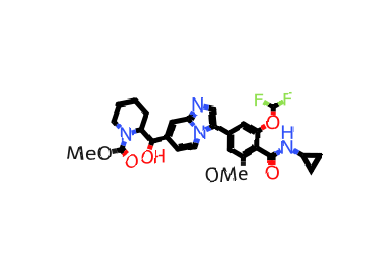 COC(=O)N1CCCCC1C(O)c1ccn2c(-c3cc(OC)c(C(=O)NC4CC4)c(OC(F)F)c3)cnc2c1